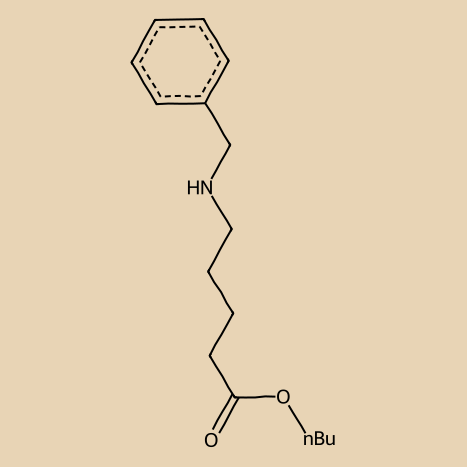 CCCCOC(=O)CCCCNCc1ccccc1